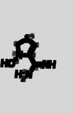 N=C(N)C1=CSCN1O